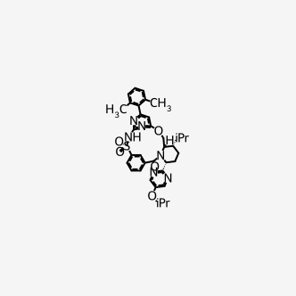 Cc1cccc(C)c1-c1cc2nc(n1)NS(=O)(=O)c1cccc(c1)C(=O)N1[C@@H](c3ncc(OC(C)C)cn3)CC[C@@H](C(C)C)[C@H]1CO2